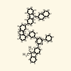 CC1(C)c2ccccc2-c2ccc(-c3nc(-c4ccccc4)nc(-c4cccc(-c5cccc6sc7ccc(-c8ccc9c(c8)c8ccccc8n9-c8ccc9ccccc9c8)cc7c56)c4)n3)cc21